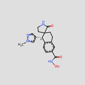 Cn1cc([C@H]2c3ccc(C(=O)NO)cc3CCC23CCNC3=O)cn1